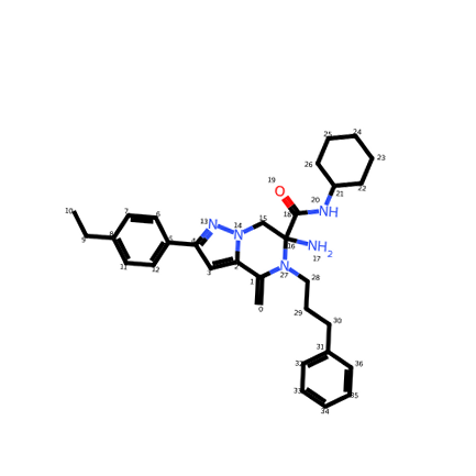 C=C1c2cc(-c3ccc(CC)cc3)nn2CC(N)(C(=O)NC2CCCCC2)N1CCCc1ccccc1